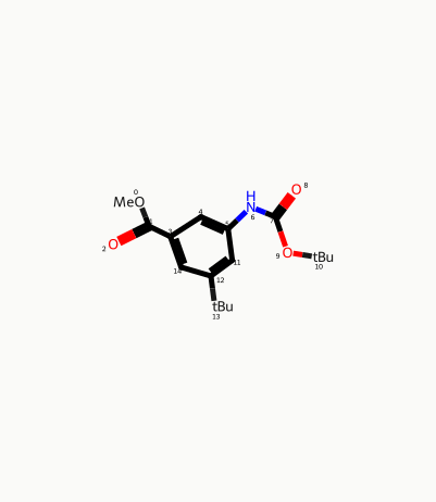 COC(=O)c1cc(NC(=O)OC(C)(C)C)cc(C(C)(C)C)c1